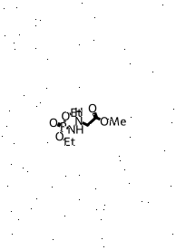 CCOP(=O)(NNCC(=O)OC)OCC